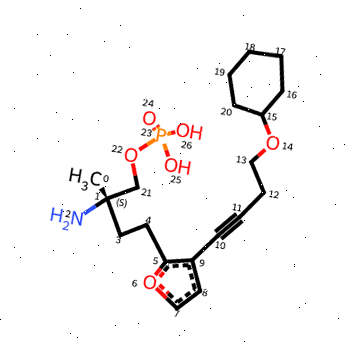 C[C@](N)(CCc1occc1C#CCCOC1CCCCC1)COP(=O)(O)O